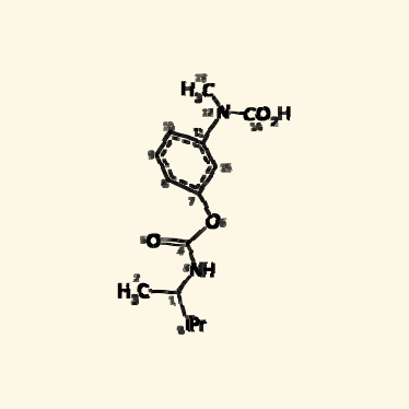 CC(C)C(C)NC(=O)Oc1cccc(N(C)C(=O)O)c1